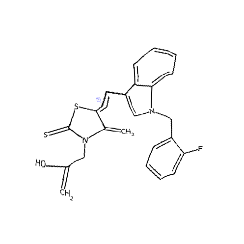 C=C(O)Cn1c(=S)s/c(=C/c2cn(Cc3ccccc3F)c3ccccc23)c1=C